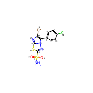 NS(=O)(=O)c1nn2c(-c3ccc(Cl)cc3)c(Br)nc2s1